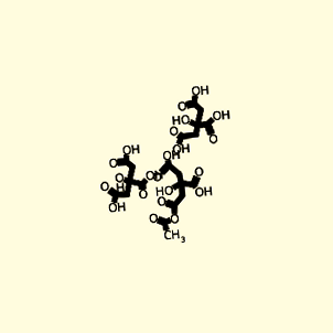 CC(=O)OC(=O)CC(O)(CC(=O)O)C(=O)O.O=C(O)CC(O)(CC(=O)O)C(=O)O.O=C(O)CC(O)(CC(=O)O)C(=O)O